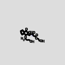 NCCO.O=C(/C=C(\O)c1cc2c(o1)C(=O)c1ccccc1C2=O)OCCO